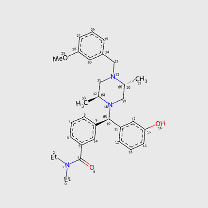 CCN(CC)C(=O)c1cccc([C@H](c2cccc(O)c2)N2C[C@@H](C)N(Cc3cccc(OC)c3)C[C@@H]2C)c1